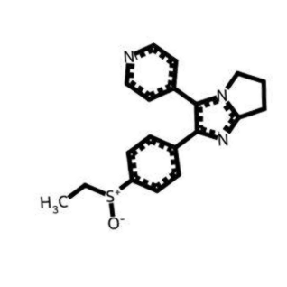 CC[S+]([O-])c1ccc(-c2nc3n(c2-c2ccncc2)CCC3)cc1